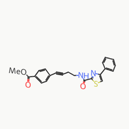 COC(=O)c1ccc(C#CCCNC(=O)c2nc(-c3ccccc3)cs2)cc1